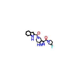 O=C(c1cc2ccccc2[nH]1)N1CCc2[nH]nc(C(=O)N3CC[C@H](F)C3)c2C1